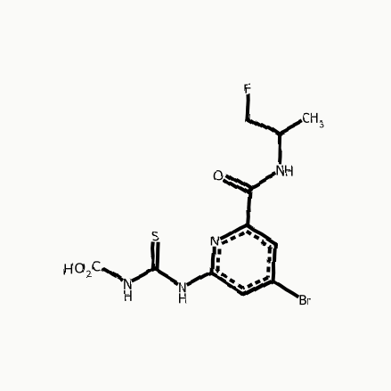 CC(CF)NC(=O)c1cc(Br)cc(NC(=S)NC(=O)O)n1